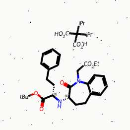 CC(C)C(C(=O)O)(C(=O)O)C(C)C.CCOC(=O)CN1C(=O)[C@@H](N[C@@H](CCc2ccccc2)C(=O)OC(C)(C)C)CCc2ccccc21